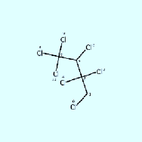 ClCC(Cl)(Cl)C(Cl)C(Cl)(Cl)Cl